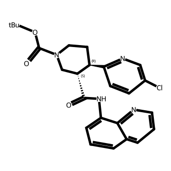 CC(C)(C)OC(=O)N1CC[C@@H](c2ccc(Cl)cn2)[C@H](C(=O)Nc2cccc3cccnc23)C1